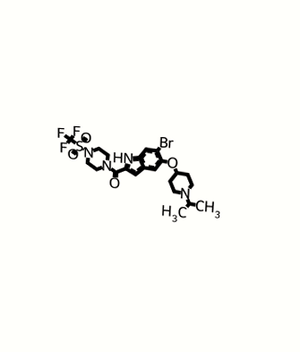 CC(C)N1CCC(Oc2cc3cc(C(=O)N4CCN(S(=O)(=O)C(F)(F)F)CC4)[nH]c3cc2Br)CC1